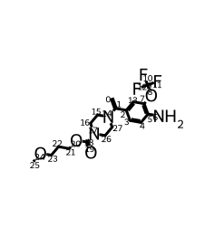 C=C(c1ccc(N)c(OC(F)(F)F)c1)N1CCN(C(=O)OCCCOC)CC1